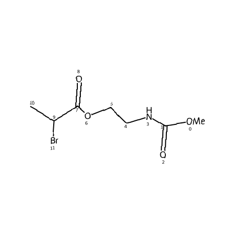 COC(=O)NCCOC(=O)C(C)Br